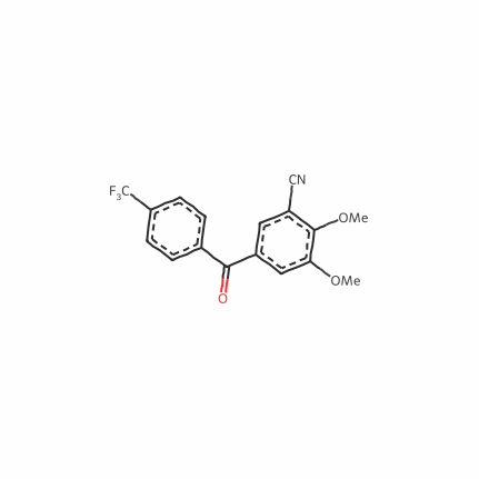 COc1cc(C(=O)c2ccc(C(F)(F)F)cc2)cc(C#N)c1OC